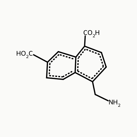 NCc1ccc(C(=O)O)c2cc(C(=O)O)ccc12